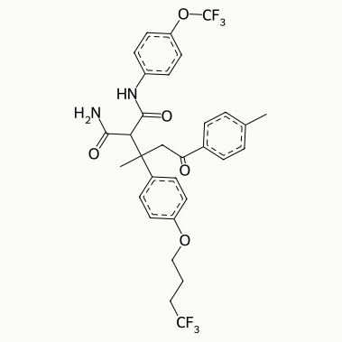 Cc1ccc(C(=O)CC(C)(c2ccc(OCCCC(F)(F)F)cc2)C(C(N)=O)C(=O)Nc2ccc(OC(F)(F)F)cc2)cc1